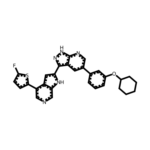 Fc1ccc(-c2cncc3[nH]c(-c4n[nH]c5ncc(-c6cccc(OC7CCCCC7)c6)cc45)cc23)s1